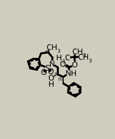 C[C@@H]1Cc2ccccc2S(=O)(=O)N(C[C@@H](O)[C@H](Cc2ccccc2)NC(=O)OC(C)(C)C)C1